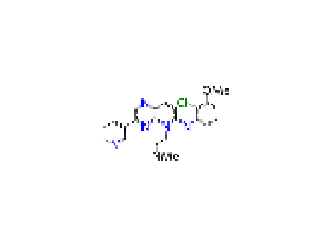 C/C=C(\C=N/C)c1cnc2cc/c(=N\c3c(C)ccc(OC)c3Cl)n(CCNC)c2n1